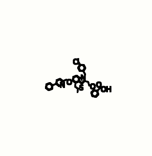 CC1Cc2c(OCc3ccc(-c4ccccc4)cn3)ccc3c2c(c(CCOc2ccccc2C(=O)O)n3Cc2ccc(Cl)cc2)S1